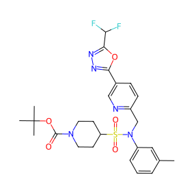 Cc1cccc(N(Cc2ccc(-c3nnc(C(F)F)o3)cn2)S(=O)(=O)C2CCN(C(=O)OC(C)(C)C)CC2)c1